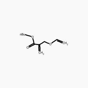 C=COCC(=C)C(=O)OCCCC